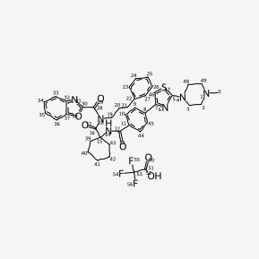 CN1CCN(c2nc(-c3ccc(C(=O)NC4(C(=O)N(CCCc5ccccc5)C(=O)c5nc6ccccc6o5)CCCCC4)cc3)cs2)CC1.O=C(O)C(F)(F)F